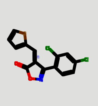 O=C1ON=C(c2ccc(Cl)cc2Cl)/C1=C/c1cccs1